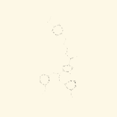 COc1ccc(CCCNC(=O)c2cnc(N(Cc3cccc(OC)c3)Cc3cccc(OC)c3)o2)cc1